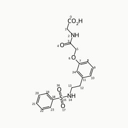 O=C(O)CNC(=O)COc1cccc(CCNS(=O)(=O)c2ccccc2)c1